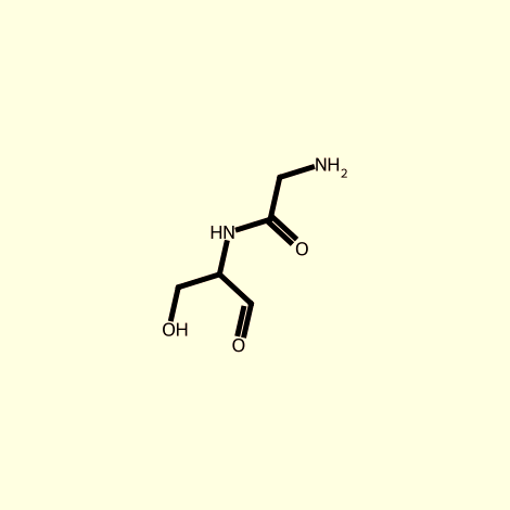 NCC(=O)NC(C=O)CO